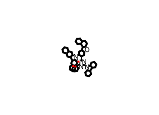 c1ccc(-c2nc(-c3cc4oc5ccc6ccccc6c5c4cc3-n3c4cc5ccccc5cc4c4cc5ccccc5cc43)nc(-n3c4ccccc4c4ccccc43)n2)cc1